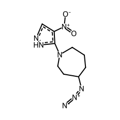 [N-]=[N+]=NC1CCCN(c2[nH]ncc2[N+](=O)[O-])CC1